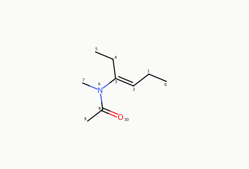 CC/C=C(\CC)N(C)C(C)=O